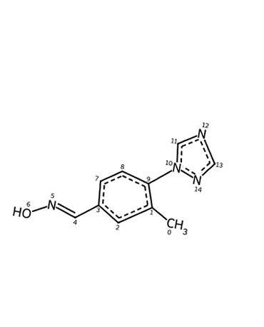 Cc1cc(/C=N/O)ccc1-n1cncn1